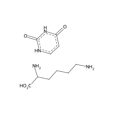 NCCCCC(N)C(=O)O.O=c1cc[nH]c(=O)[nH]1